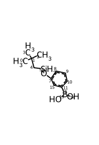 CC(C)(C)C[SiH2]Oc1cccc(B(O)O)c1